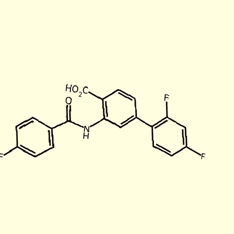 O=C(Nc1cc(-c2ccc(F)cc2F)ccc1C(=O)O)c1ccc(F)cc1